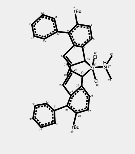 CC1=Cc2c(ccc(C(C)(C)C)c2-c2ccccc2)[CH]1[Zr]([Cl])([Cl])([CH]1C(C)=Cc2c1ccc(C(C)(C)C)c2-c1ccccc1)[SiH](C)C